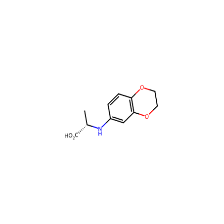 C[C@H](Nc1ccc2c(c1)OCCO2)C(=O)O